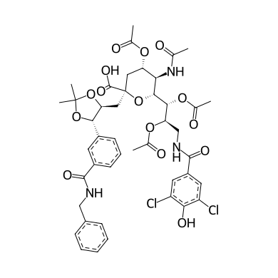 CC(=O)N[C@H]1[C@H]([C@H](OC(C)=O)[C@@H](CNC(=O)c2cc(Cl)c(O)c(Cl)c2)OC(C)=O)O[C@@](C[C@@H]2OC(C)(C)O[C@H]2c2cccc(C(=O)NCc3ccccc3)c2)(C(=O)O)C[C@@H]1OC(C)=O